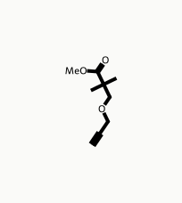 C#CCOCC(C)(C)C(=O)OC